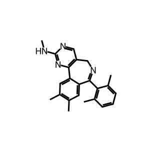 CNc1ncc2c(n1)-c1cc(C)c(C)cc1C(c1c(C)cccc1C)=NC2